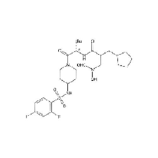 CC(C)(C)[C@H](NC(=O)C(CC1CCCC1)CN(O)C=O)C(=O)N1CCC(NS(=O)(=O)c2ccc(F)cc2F)CC1